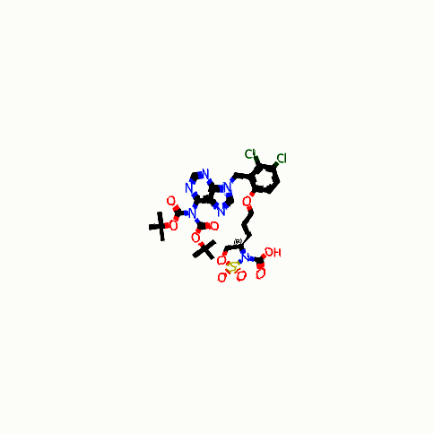 CC(C)(C)OC(=O)N(C(=O)OC(C)(C)C)c1ncnc2c1ncn2Cc1c(OCCC[C@@H]2COS(=O)(=O)N2C(=O)O)ccc(Cl)c1Cl